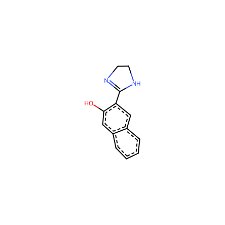 Oc1cc2ccccc2cc1C1=NCCN1